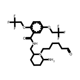 NC1CCCC(CNC(=O)c2cc(OCC(F)(F)F)ccc2OCC(F)(F)F)N1CCCCCC=O